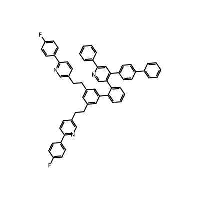 Fc1ccc(-c2ccc(CCc3cc(CCc4ccc(-c5ccc(F)cc5)nc4)cc(-c4ccccc4-c4cnc(-c5ccccc5)cc4-c4ccc(-c5ccccc5)cc4)c3)cn2)cc1